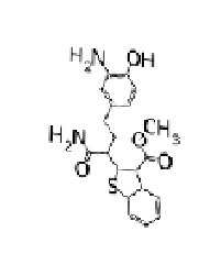 COC(=O)C1C2C=CC=CC2SC1C(CCc1ccc(O)c(N)c1)C(N)=O